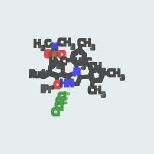 Cc1cc(C)c(C2CNC(=C3CC(S(=O)(=O)N(C)C)=CC([CH]=[Ru+4])=C3OC(C)C)N2c2c(C)cc(C)cc2C)c(C)c1.[Cl-].[Cl-].[Cl-].[Cl-]